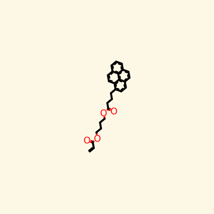 C=CC(=O)OCCCCOC(=O)CCCc1ccc2ccc3cccc4ccc1c2c34